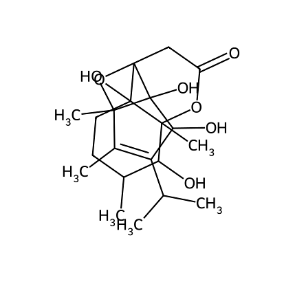 CC1=C(C(C)C)C(O)C(O)(C23CC(=O)OC4(C)C(O)C(C)CCC42O3)C1(C)O